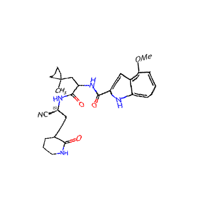 COc1cccc2[nH]c(C(=O)NC(CC3(C)CC3)C(=O)N[C@H](C#N)CC3CCCNC3=O)cc12